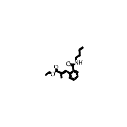 CCCCNC(=O)c1ccccc1C=C(C)C(=O)OCC